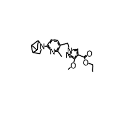 CCOC(=O)c1cn(Cc2ccc(N3CC4C5C4C53)nc2C)nc1OC